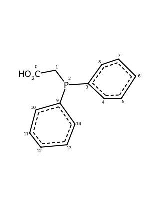 O=C(O)CP(c1ccccc1)c1ccccc1